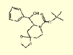 CC(C)(C)OC(=O)N1CCC2(CC1C(O)c1ccccc1)OCCO2